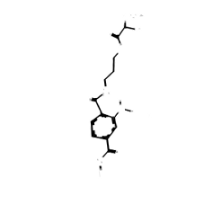 CCNC(=O)c1ccc(C(=O)NCCCOC(=O)C(SC)C(C)=O)c(P(C)C)c1